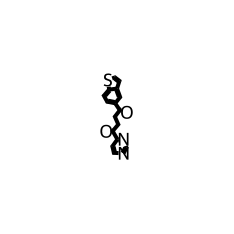 O=C(CCC(=O)c1ccncn1)c1ccc2sccc2c1